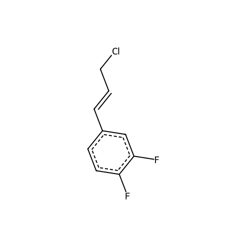 Fc1ccc(/C=C/CCl)cc1F